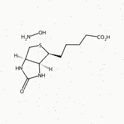 NO.O=C(O)CCCC[C@@H]1SC[C@@H]2NC(=O)N[C@@H]21